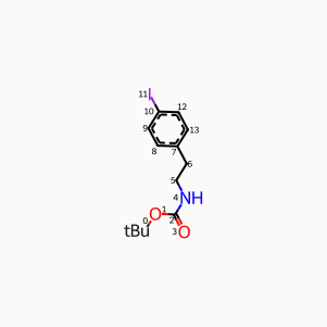 CC(C)(C)OC(=O)NCCc1ccc(I)cc1